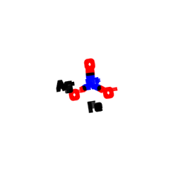 O=[N+]([O-])[O-].[Ag].[Fe]